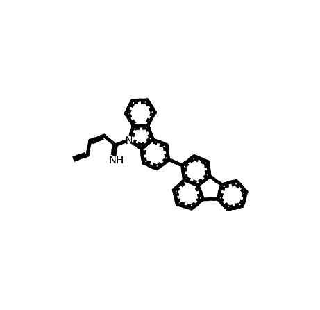 C=C/C=C\C(=N)n1c2ccccc2c2cc(-c3ccc4c5c(cccc35)-c3ccccc3-4)ccc21